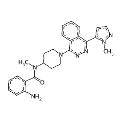 CN(C(=O)c1ccccc1N)C1CCN(c2nnc(-c3ccnn3C)c3ccccc23)CC1